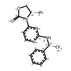 CC(C)[C@H]1COC(=O)N1c1ccnc(N[C@@H](c2ccccc2)C(F)(F)F)n1